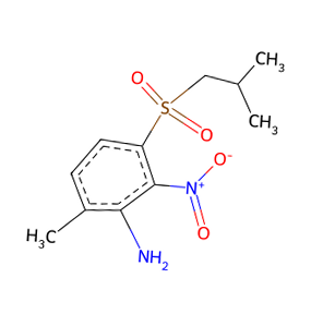 Cc1ccc(S(=O)(=O)CC(C)C)c([N+](=O)[O-])c1N